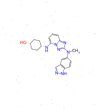 CN(c1ccc2[nH]ncc2c1)c1nc2cccc(N[C@H]3CC[C@@H](O)CC3)n2n1